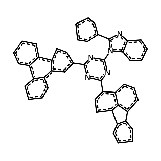 c1ccc(-c2nc3ccccc3n2-c2nc(-c3ccc4c5ccccc5c5ccccc5c4c3)nc(-c3ccc4c5c(cccc35)-c3ccccc3-4)n2)cc1